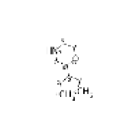 C=CC(CC)C1CNCCO1